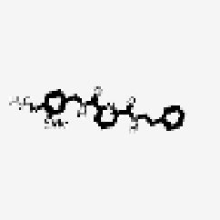 C=Nc1ccc(CNC(=O)c2cccc(C(=O)NCCc3ccccc3)n2)cc1SC